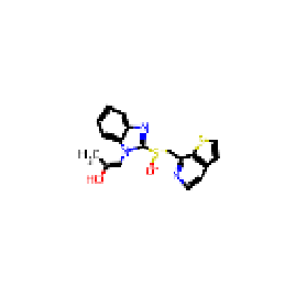 C/C(O)=C\n1c([S+]([O-])Cc2nccc3ccsc23)nc2ccccc21